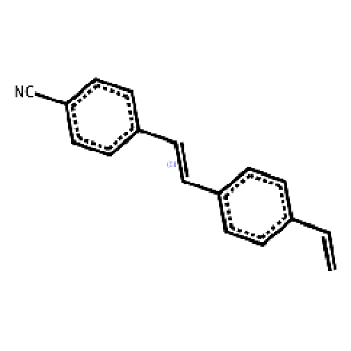 C=Cc1ccc(/C=C/c2ccc(C#N)cc2)cc1